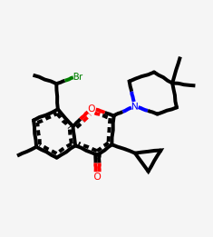 Cc1cc(C(C)Br)c2oc(N3CCC(C)(C)CC3)c(C3CC3)c(=O)c2c1